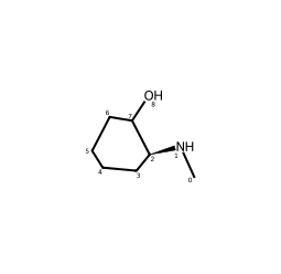 CN[C@H]1CCCCC1O